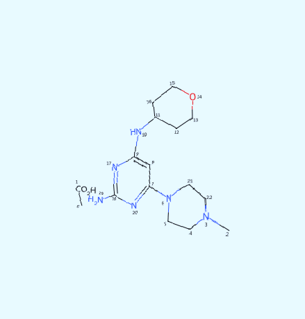 CC(=O)O.CN1CCN(c2cc(NC3CCOCC3)nc(N)n2)CC1